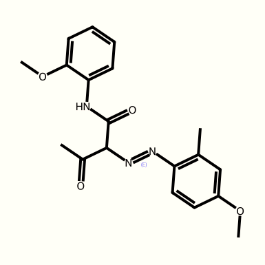 COc1ccc(/N=N/C(C(C)=O)C(=O)Nc2ccccc2OC)c(C)c1